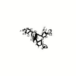 COc1ccc(-c2nc(-c3cc[n+](C)cc3)sc2-c2ccc(OC)cc2)cc1.[I-]